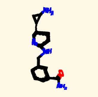 NC(=O)c1cccc(CNc2ccc(C3CC3N)cn2)c1